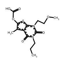 CCCn1c(=O)c2c(C)c(OC(=O)O)sc2n(CCOC)c1=O